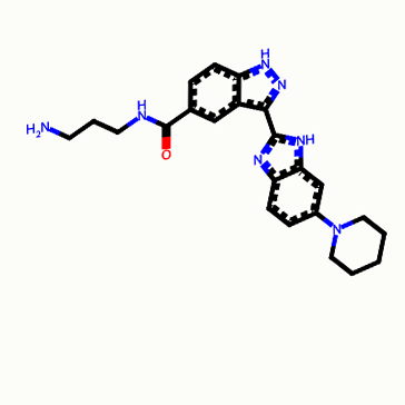 NCCCNC(=O)c1ccc2[nH]nc(-c3nc4ccc(N5CCCCC5)cc4[nH]3)c2c1